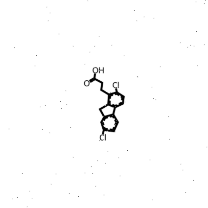 O=C(O)CCc1c(Cl)ccc2c1Cc1cc(Cl)ccc1-2